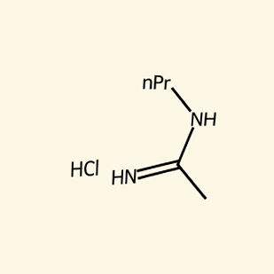 CCCNC(C)=N.Cl